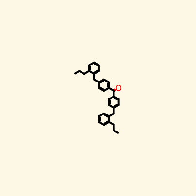 CCCc1ccccc1Cc1ccc(C(=O)c2ccc(Cc3ccccc3CCC)cc2)cc1